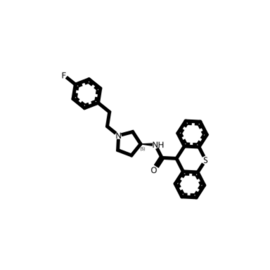 O=C(N[C@H]1CCN(CCc2ccc(F)cc2)C1)C1c2ccccc2Sc2ccccc21